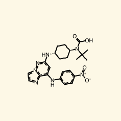 CC(C)(C)N(C(=O)O)[C@H]1CC[C@H](Nc2cc(Nc3ccc([N+](=O)[O-])cc3)c3nccn3n2)CC1